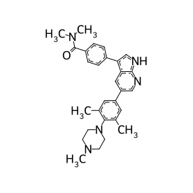 Cc1cc(-c2cnc3[nH]cc(-c4ccc(C(=O)N(C)C)cc4)c3c2)cc(C)c1N1CCN(C)CC1